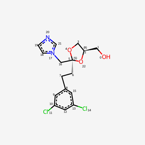 OC[C@@H]1CO[C@](CCc2cc(Cl)cc(Cl)c2)(Cn2ccnc2)O1